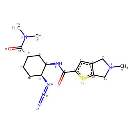 CN1Cc2cc(C(=O)N[C@@H]3C[C@@H](C(=O)N(C)C)CC[C@@H]3N=[N+]=[N-])sc2C1